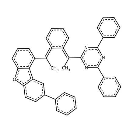 C/C(c1nc(-c2ccccc2)nc(-c2ccccc2)n1)=c1/cccc/c1=C(/C)c1cccc2oc3ccc(-c4ccccc4)cc3c12